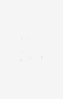 Cc1ccc(C)c(S(=O)(O)=S)c1